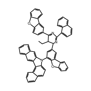 CCC1C(c2ccc3oc4ccccc4c3c2)=NC(c2cccc3ccccc23)=NC1c1cc(-n2c3cc4ccccc4cc3c3c4ccccc4ccc32)c2oc3ccccc3c2c1